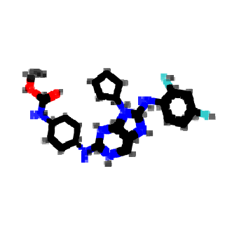 CC(C)(C)OC(=O)N[C@H]1CC[C@H](Nc2ncc3nc(Nc4ccc(F)cc4F)n(C4CCCC4)c3n2)CC1